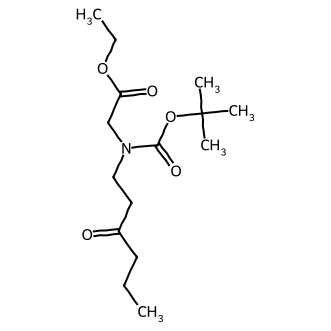 CCCC(=O)CCN(CC(=O)OCC)C(=O)OC(C)(C)C